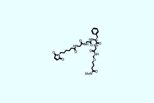 CNC(=O)CCCOCNC(=O)CNC(=O)[C@H](Cc1ccccc1)NC(=O)CNC(=O)CNC(=O)CCCCCN1C(=O)C=CC1=O